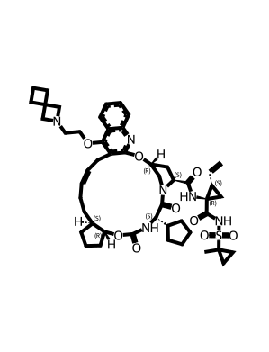 C=C[C@@H]1C[C@]1(NC(=O)[C@@H]1C[C@@H]2CN1C(=O)[C@H](C1CCCC1)NC(=O)O[C@@H]1CCC[C@H]1CCC=CCc1c(nc3ccccc3c1OCCN1CC3(CCC3)C1)O2)C(=O)NS(=O)(=O)C1(C)CC1